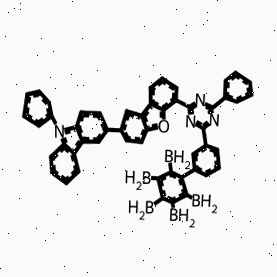 Bc1c(B)c(B)c(-c2cccc(-c3nc(-c4ccccc4)nc(-c4cccc5c4oc4ccc(-c6ccc7c(c6)c6ccccc6n7-c6ccccc6)cc45)n3)c2)c(B)c1B